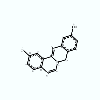 N#Cc1ccc2c(c1)N=C1c3cc(Cl)ccc3N=CN1C2